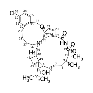 CC(C)C[C@]1(O)/C=C/C[C@H](C)[C@@H](C)S(=O)(=O)NC(=O)c2ccc3c(c2)N(CCCCc2cc(Cl)ccc2CO3)C[C@@H]2CC[C@H]21